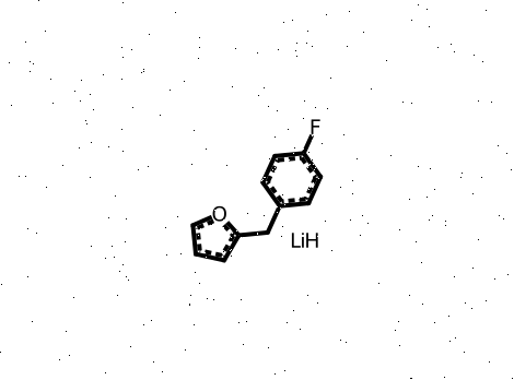 Fc1ccc(Cc2ccco2)cc1.[LiH]